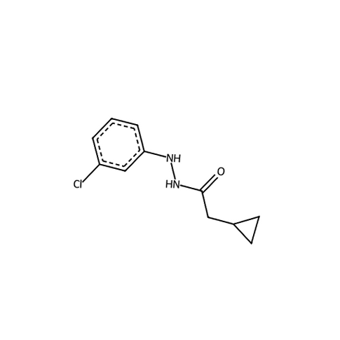 O=C(CC1CC1)NNc1cccc(Cl)c1